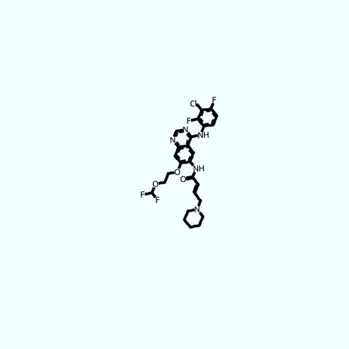 O=C(/C=C/CN1CCCCC1)Nc1cc2c(Nc3ccc(F)c(Cl)c3F)ncnc2cc1OCCOC(F)F